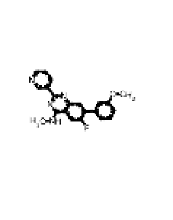 CNc1nc(-c2cccnc2)nc2cc(-c3cccc(OC)c3)c(F)cc12